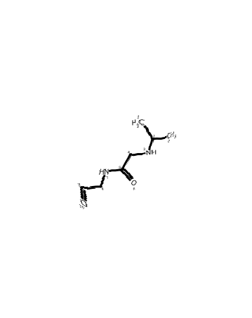 CC(C)NCC(=O)NC[C]=O